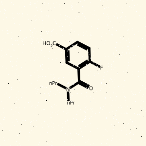 CCCN(CCC)C(=O)c1cc(C(=O)O)ccc1F